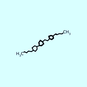 CCCC=Cc1ccc(CCc2ccc(C3CCC(CCCCC)CC3)cc2)cc1